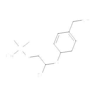 CCC(CO[Si](C)(C)C(C)(C)C)OC1C=CC(CO)=CC1